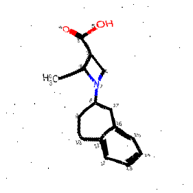 CC1C(C(=O)O)CN1C1CCc2ccccc2C1